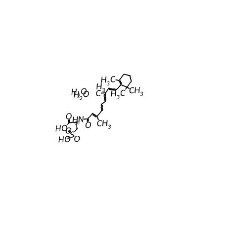 CC(C=CC1=C(C)CCCC1(C)C)=CC=CC(C)=CC(=O)N[C@@H](CS(=O)(=O)O)C(=O)O.O.O